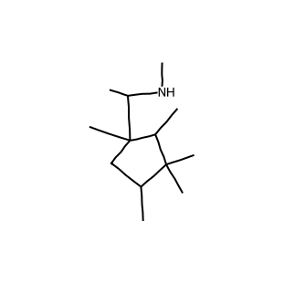 CNC(C)C1(C)CC(C)C(C)(C)C1C